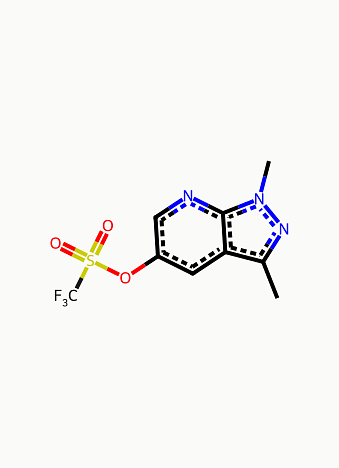 Cc1nn(C)c2ncc(OS(=O)(=O)C(F)(F)F)cc12